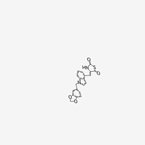 O=C1NC(=Cc2cccc3c2ccn3Cc2ccc3c(c2)OCO3)C(=O)S1